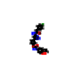 C[C@]1(O)CC[C@@H](NC(=O)O[C@H]2CC[C@@H](c3cc(NC(=O)Cc4ccc(F)cc4)n[nH]3)C2)CC1